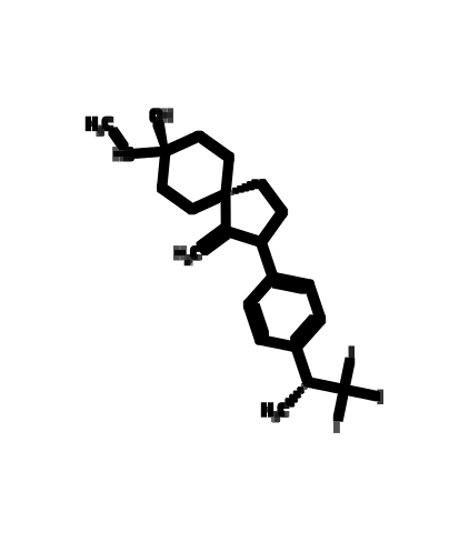 C=C1C(c2ccc([C@@H](C)C(I)(I)I)cc2)CC[C@]12CC[C@@](O)(BC)CC2